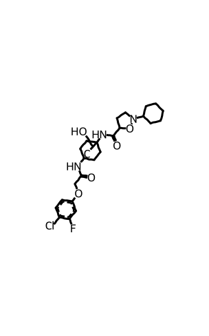 O=C(COc1ccc(Cl)c(F)c1)NC12CCC(NC(=O)C3CCN(C4CCCCC4)O3)(CC1)C(O)C2